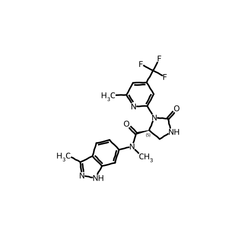 Cc1cc(C(F)(F)F)cc(N2C(=O)NC[C@H]2C(=O)N(C)c2ccc3c(C)n[nH]c3c2)n1